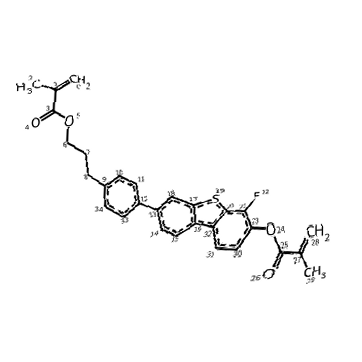 C=C(C)C(=O)OCCCc1ccc(-c2ccc3c(c2)sc2c(F)c(OC(=O)C(=C)C)ccc23)cc1